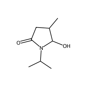 CC1CC(=O)N(C(C)C)C1O